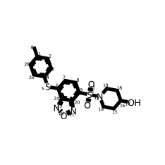 Cc1ccc(Sc2ccc(S(=O)(=O)N3CCC(O)CC3)c3nonc23)cc1